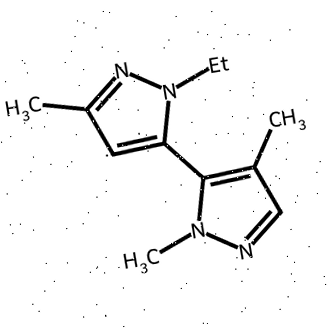 CCn1nc(C)[c]c1-c1c(C)cnn1C